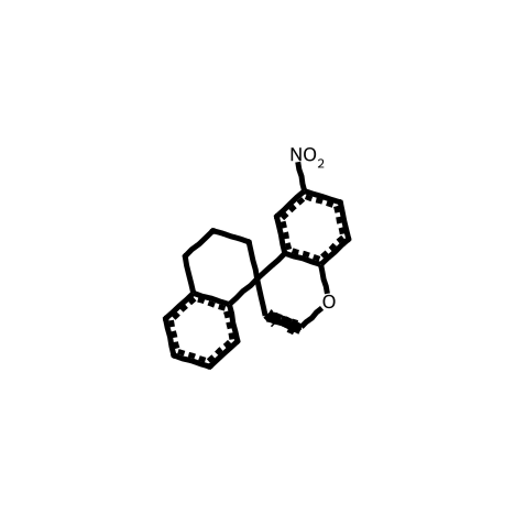 O=[N+]([O-])c1ccc2c(c1)C1(CCCc3ccccc31)c1ccccc1O2